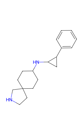 c1ccc(C2CC2NC2CCC3(CCNC3)CC2)cc1